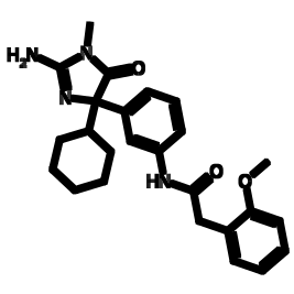 COc1ccccc1CC(=O)Nc1cccc(C2(C3CCCCC3)N=C(N)N(C)C2=O)c1